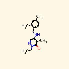 CCn1ncc(NCc2ccc(C)cc2C)c(C)c1=O